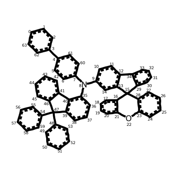 c1ccc(-c2ccc(N(c3ccc4c(c3)C3(c5ccccc5Oc5ccccc53)c3ccccc3-4)c3cccc4c3-c3ccccc3C4(c3ccccc3)c3ccccc3)cc2)cc1